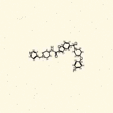 O=C(NC1CCN(Cc2ccncc2)CC1)c1cc2cc(C(=O)N3CCC(Oc4ccc(F)cc4)CC3)ccc2o1